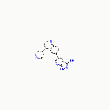 Nc1n[nH]c2ncc(-c3ccc4nccc(-c5ccncc5)c4c3)cc12